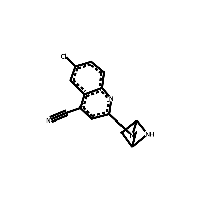 N#Cc1cc(N2CC3CC2N3)nc2ccc(Cl)cc12